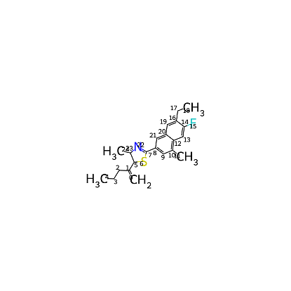 C=C(CCC)C1SC(c2cc(C)c3cc(F)c(CC)cc3c2)=NC1C